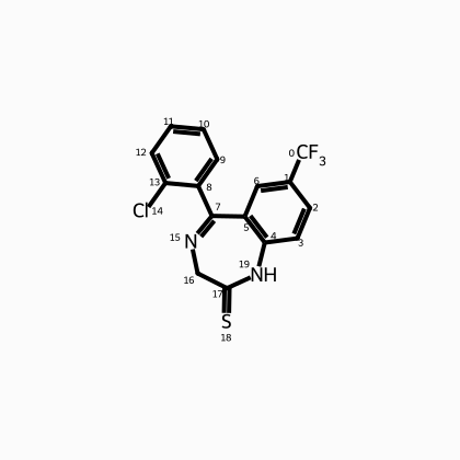 FC(F)(F)c1ccc2c(c1)C(c1ccccc1Cl)=NCC(=S)N2